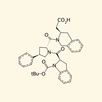 CC(C)(C)OC(=O)N1c2ccccc2C[C@@H]1C(=O)N1C[C@@H](c2ccccc2)C[C@@H]1C(=O)N1Cc2ccccc2C[C@@H]1CC(=O)O